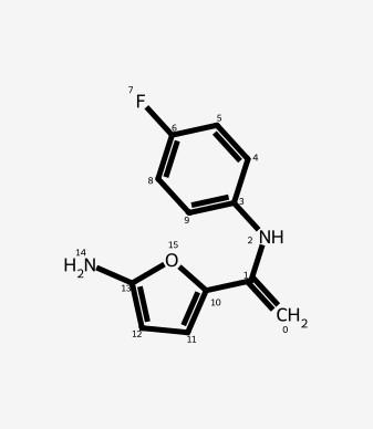 C=C(Nc1ccc(F)cc1)c1ccc(N)o1